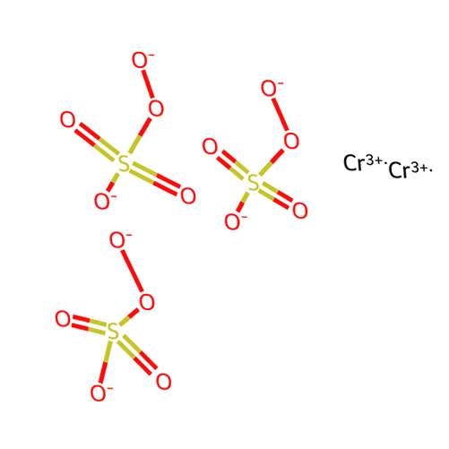 O=S(=O)([O-])O[O-].O=S(=O)([O-])O[O-].O=S(=O)([O-])O[O-].[Cr+3].[Cr+3]